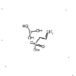 C=CCS(=O)(=O)O.OB(O)O